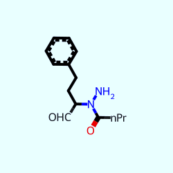 CCCC(=O)N(N)C(C=O)CCc1ccccc1